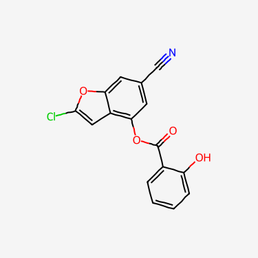 N#Cc1cc(OC(=O)c2ccccc2O)c2cc(Cl)oc2c1